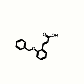 O=C(O)C=Cc1ccccc1OCc1ccccc1